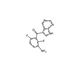 Nc1ccc(F)c(C(=O)c2c[nH]c3ncncc23)c1F